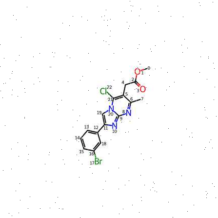 COC(=O)Cc1c(C)nc2nc(-c3cccc(Br)c3)cn2c1Cl